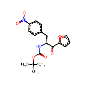 CC(C)(C)OC(=O)N[C@@H](Cc1ccc([N+](=O)[O-])cc1)C(=O)c1ccco1